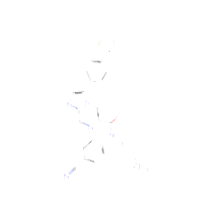 COCCN(C(=O)c1cn2c(-c3ccc(C(F)(F)F)cc3)cnc2cn1)c1ccc(C#N)cc1